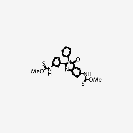 COC(=S)Nc1cccc(-c2nc3ccc(NC(=S)OC)cc3c(=O)n2-c2ccccc2)c1